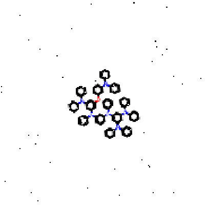 c1ccc(N(c2ccccc2)c2cccc(Oc3cc(N(c4ccccc4)c4ccccc4)cc(N(c4ccccc4)c4cccc(N(c5ccccc5)c5cc(N(c6ccccc6)c6ccccc6)cc(N(c6ccccc6)c6ccccc6)c5)c4)c3)c2)cc1